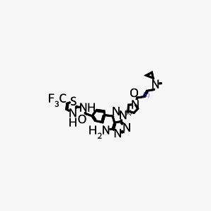 CN(C/C=C/C(=O)N1CC[C@@H](n2nc(-c3ccc(C(=O)NC4NC=C(C(F)(F)F)S4)cc3)c3c(N)ncnc32)C1)C1CC1